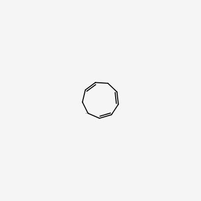 [CH]1/C=C\C=C/C/C=C\C1